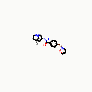 O=C(N[C@@H]1C[C@H]2CCN(C2)C1)c1ccc(SN2CC=CO2)cc1